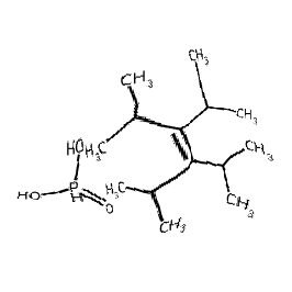 CC(C)C(=C(C(C)C)C(C)C)C(C)C.O=[PH](O)O